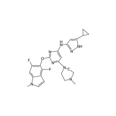 CN1CCN(c2cc(Nc3cc(C4CC4)[nH]n3)nc(Oc3c(F)cc4c(ccn4C)c3F)n2)CC1